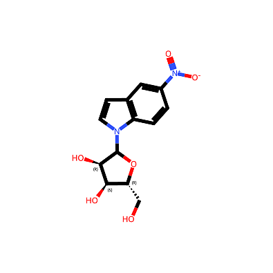 O=[N+]([O-])c1ccc2c(ccn2C2O[C@H](CO)[C@@H](O)[C@H]2O)c1